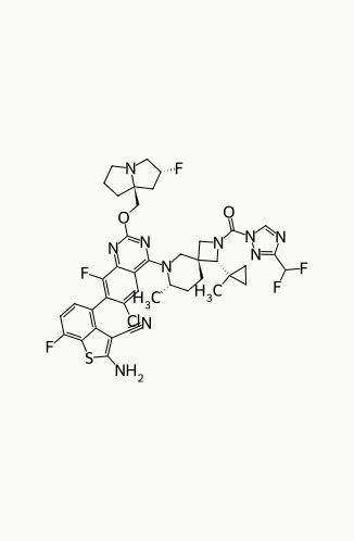 C[C@H]1CC[C@]2(CN(C(=O)n3cnc(C(F)F)n3)[C@@H]2C2(C)CC2)CN1c1nc(OC[C@@]23CCCN2C[C@H](F)C3)nc2c(F)c(-c3ccc(F)c4sc(N)c(C#N)c34)c(Cl)cc12